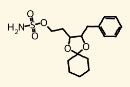 NS(=O)(=O)OCCC1OC2(CCCCC2)OC1Cc1ccccc1